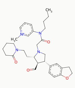 CCCCN(C(=O)CN1C[C@H](c2ccc3c(c2)CCO3)[C@@H](C=O)[C@@H]1CCN1CCCCC1=O)c1ccc[n+](C)c1